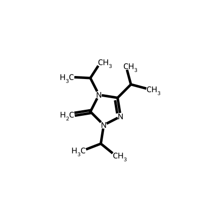 C=C1N(C(C)C)N=C(C(C)C)N1C(C)C